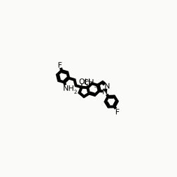 C[C@]12Cc3cnn(-c4ccc(F)cc4)c3C=C1CC[C@@]2(O)CCc1cc(F)ccc1N